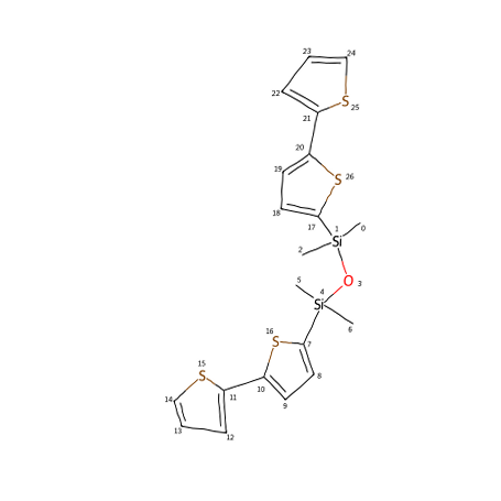 C[Si](C)(O[Si](C)(C)c1ccc(-c2cccs2)s1)c1ccc(-c2cccs2)s1